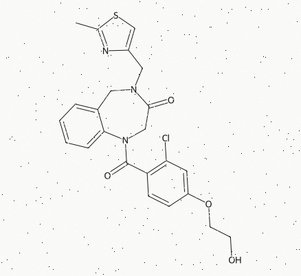 Cc1nc(CN2Cc3ccccc3N(C(=O)c3ccc(OCCO)cc3Cl)CC2=O)cs1